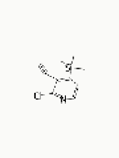 C#Cc1c([Si](C)(C)C)ccnc1Cl